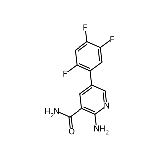 NC(=O)c1cc(-c2cc(F)c(F)cc2F)cnc1N